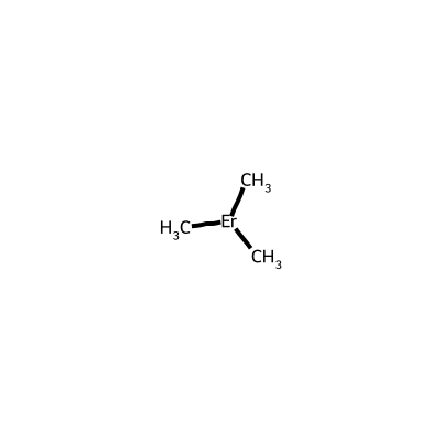 [CH3][Er]([CH3])[CH3]